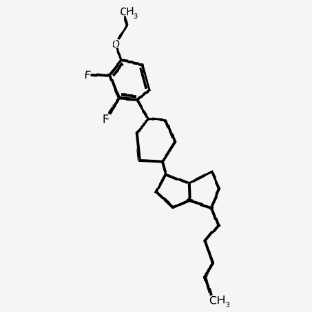 CCCCCC1CCC2C(C3CCC(c4ccc(OCC)c(F)c4F)CC3)CCC12